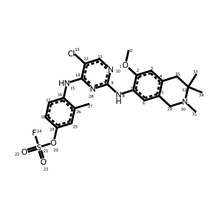 COc1cc2c(cc1Nc1ncc(Cl)c(Nc3ccc(OS(=O)(=O)F)cc3C)n1)CN(C)C(C)(C)C2